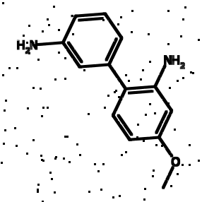 COc1ccc(-c2cc[c]c(N)c2)c(N)c1